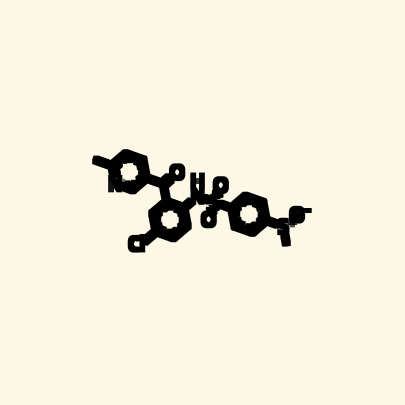 Cc1ccc(C(=O)c2cc(Cl)ccc2NS(=O)(=O)c2ccc([S+](C)[O-])cc2)cn1